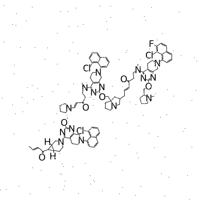 C/C=C/C(=O)C1[C@H]2CCN(c3nc(OC[C@@H]4CCCN4/C=C/C(=O)[C@@H](C)CN(C)c4nc(OCC56CCCN5CC(C/C=C/C(=O)CCN(C)c5nc(OC[C@@H]7CCCN7C)nc7c5CCN(c5cccc8ccc(F)c(Cl)c58)C7)C6)nc5c4CCN(c4cccc6cccc(Cl)c46)C5)nc4c3CCN(c3cccc5cccc(Cl)c35)C4)C[C@@H]12